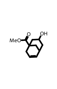 COC(=O)C12CC=CC(CC(O)C1)C2